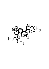 CCn1ncc(C(=O)c2ccc3c(c2C)C(OC(C)C)CCS3(=O)=O)c1O